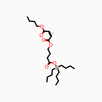 CCCCOC(=O)/C=C\C(=O)OCCCC(=O)O[Si](CCCC)(CCCC)CCCC